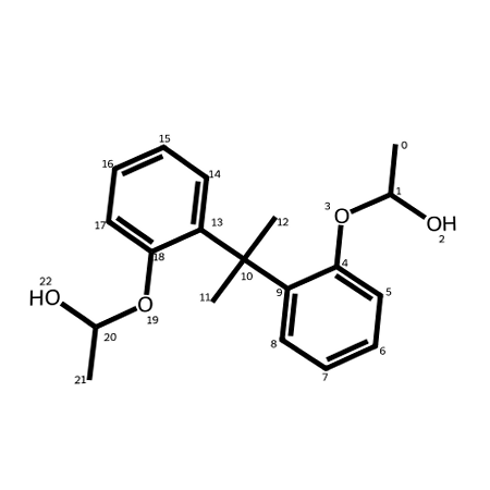 CC(O)Oc1ccccc1C(C)(C)c1ccccc1OC(C)O